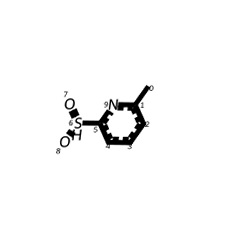 Cc1cccc([SH](=O)=O)n1